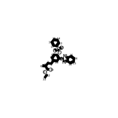 C=C(CCc1ccc(OS(=O)(=O)c2ccccc2)c(-n2nc3ccccc3n2)c1)C(=O)OCC